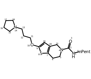 CCCCCNC(=O)N1CCc2sc(OCCCN3CCCC3)cc2C1